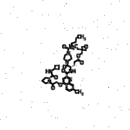 CCCCOC(=O)N1CCN(C(=O)[C@H](CCC(=O)OCC2(CC)COC2)NC(=O)c2cc(OCC(=O)N3CCC[C@H]3C(=O)NC3CCC3)c3ccc(C)cc3n2)CC1